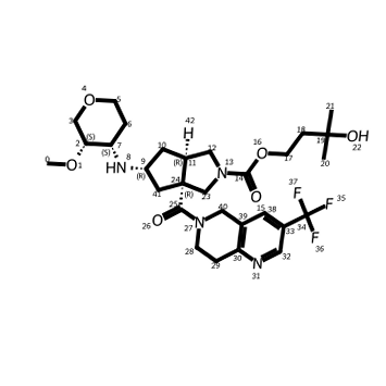 CO[C@@H]1COCC[C@@H]1N[C@@H]1C[C@H]2CN(C(=O)OCCC(C)(C)O)C[C@@]2(C(=O)N2CCc3ncc(C(F)(F)F)cc3C2)C1